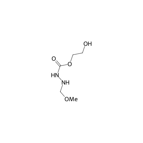 COCNNC(=O)OCCO